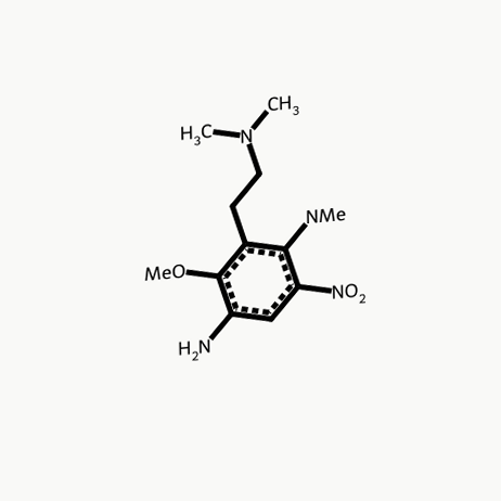 CNc1c([N+](=O)[O-])cc(N)c(OC)c1CCN(C)C